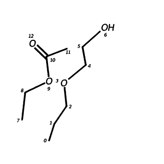 CCCOCCO.CCOC(C)=O